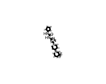 O=C(Nc1nnc(N2CCC(N3CCCC(F)(F)C3)CC2)s1)NC1CCCC1